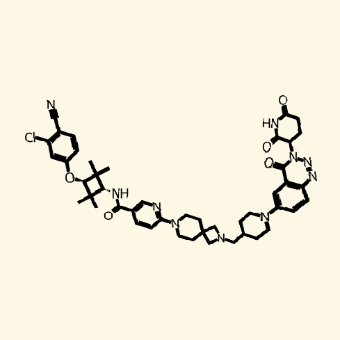 CC1(C)[C@H](NC(=O)c2ccc(N3CCC4(CC3)CN(CC3CCN(c5ccc6nnn(C7CCC(=O)NC7=O)c(=O)c6c5)CC3)C4)nc2)C(C)(C)[C@H]1Oc1ccc(C#N)c(Cl)c1